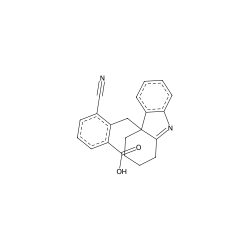 N#Cc1cccc(C(=O)O)c1CC12CCCCC1=Nc1ccccc12